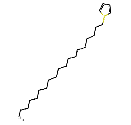 CCCCCCCCCCCCCCCCCCC[SH]1C=CC=C1